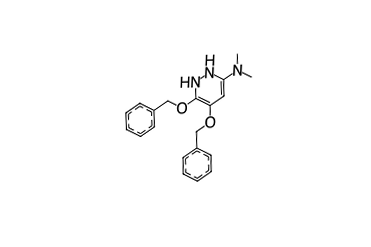 CN(C)C1=CC(OCc2ccccc2)=C(OCc2ccccc2)NN1